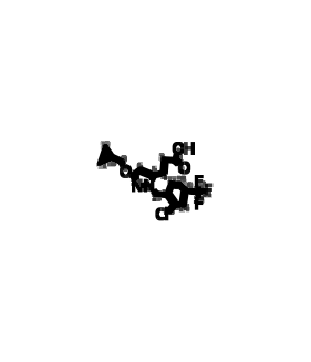 O=C(O)C=Cc1cc(OCC2CC2)nn1Cc1ccc(C(F)(F)F)cc1Cl